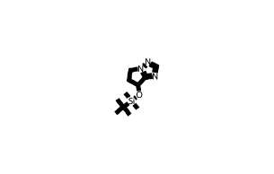 CC(C)(C)[Si](C)(C)OC1CCn2ncnc21